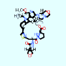 CCn1c(-c2cc(N3CCN4CCOC[C@@H]4C3)cnc2[C@H](C)OC)c2c3cc(ccc31)-c1csc(n1)C[C@H](NC(=O)[C@H]1[C@@H]3COC[C@@H]31)C(=O)N1CCC[C@H](N1)C(=O)OCC(C)(C)C2